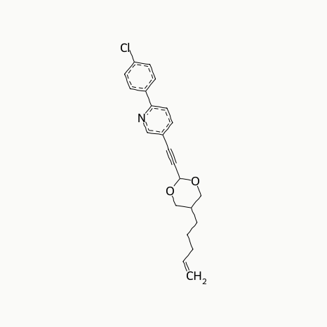 C=CCCCC1COC(C#Cc2ccc(-c3ccc(Cl)cc3)nc2)OC1